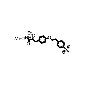 CCOC(Cc1ccc(OCCc2ccc(S(C)(=O)=O)cc2)cc1)C(=O)NOC